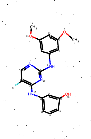 COc1cc(Nc2ncc(F)c(Nc3cccc(O)c3)n2)cc(OC)c1